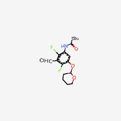 CC(C)(C)C(=O)Nc1cc(OC2CCCCO2)c(F)c(C=O)c1F